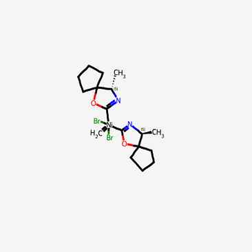 [CH2]=[Ni]([Br])([Br])([C]1=N[C@@H](C)C2(CCCC2)O1)[C]1=N[C@@H](C)C2(CCCC2)O1